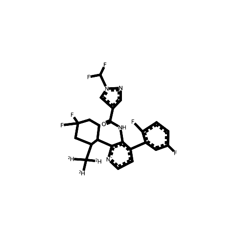 [2H]C([2H])([2H])C1CC(F)(F)CCC1c1nccc(-c2cc(F)ccc2F)c1NC(=O)c1cnn(C(F)F)c1